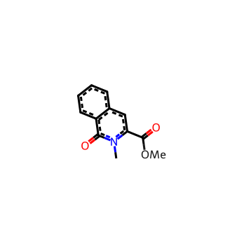 COC(=O)c1cc2ccccc2c(=O)n1C